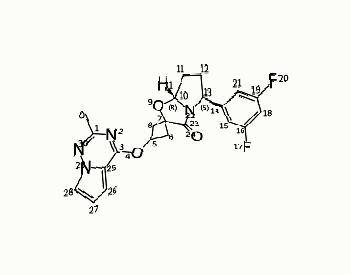 Cc1nc(OC2CC3(C2)O[C@@H]2CC[C@@H](c4cc(F)cc(F)c4)N2C3=O)c2cccn2n1